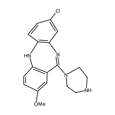 COc1ccc2c(c1)C(N1CCNCC1)=Nc1cc(Cl)ccc1N2